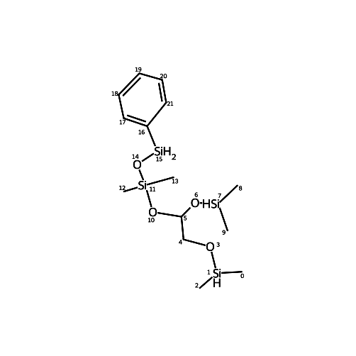 C[SiH](C)OCC(O[SiH](C)C)O[Si](C)(C)O[SiH2]c1ccccc1